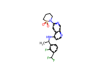 C[C@@H](Nc1ccnc2cnc(N3CCCCS3(=O)=O)cc12)c1cccc(C(F)F)c1F